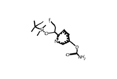 CC(C)(C)[Si](C)(C)OC(CF)c1ccc(OC(N)=O)cn1